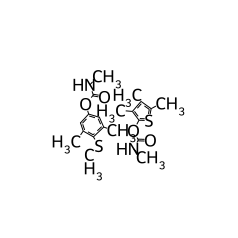 CNC(=O)Oc1cc(C)c(SC)c(C)c1.CNC(=O)Oc1sc(C)c(C)c1C